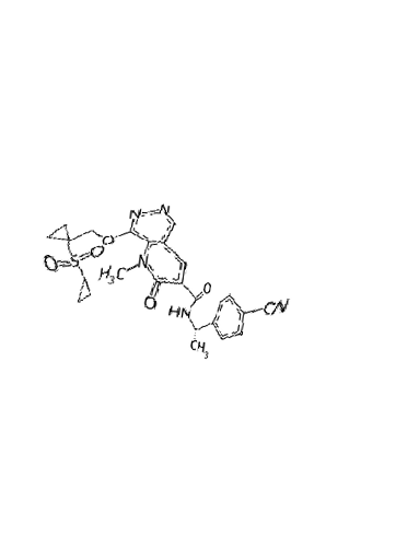 C[C@H](NC(=O)c1cc2cnnc(OCC3(S(=O)(=O)C4CC4)CC3)c2n(C)c1=O)c1ccc(C#N)cc1